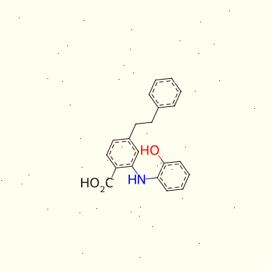 O=C(O)c1ccc(CCc2ccccc2)cc1Nc1ccccc1O